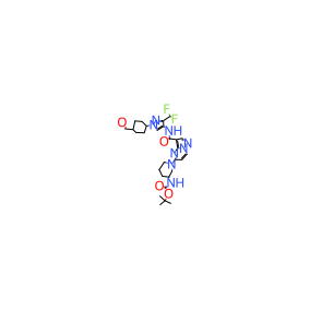 CC(C)(C)OC(=O)N[C@H]1CCCN(c2ccn3ncc(C(=O)Nc4cn(C5CCC(C=O)CC5)nc4C(F)F)c3n2)C1